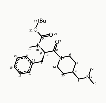 CN(C)CC1CCN(C(=O)[C@@H](Cc2ccccc2)N(C)C(=O)OC(C)(C)C)CC1